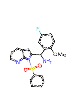 COc1ccc(F)cc1C(N)c1cc2cccnc2n1S(=O)(=O)c1ccccc1